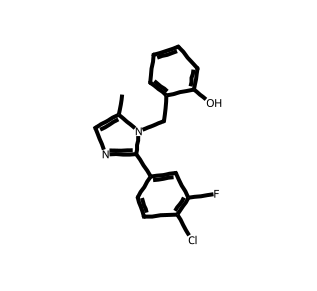 Cc1cnc(-c2ccc(Cl)c(F)c2)n1Cc1ccccc1O